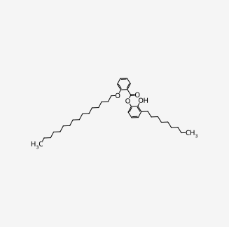 CCCCCCCCCCCCCCCCOc1ccccc1C(=O)Oc1cccc(CCCCCCCCC)c1O